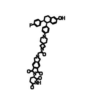 O=C1CC[C@@H](N2C(=O)c3cc4c(cc3C2=O)CN(CC(=O)N2CC3(CCN(c5ccc([C@@H]6c7ccc(O)cc7CC[C@@H]6c6ccc(F)cc6)cc5)CC3)C2)C4)C(=O)N1